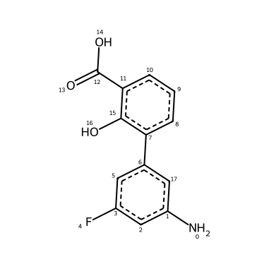 Nc1cc(F)cc(-c2cccc(C(=O)O)c2O)c1